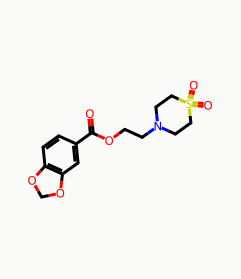 O=C(OCCN1CCS(=O)(=O)CC1)c1ccc2c(c1)OCO2